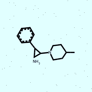 CC1CCN(C2CC2c2ccccc2)CC1.N